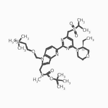 CC[C@H]1COCCN1c1cc(CS(=O)(=O)C(C)C)nc(-c2ccc3c(cc(CN(C)C(=O)OC(C)(C)C)n3COCC[Si](C)(C)C)n2)n1